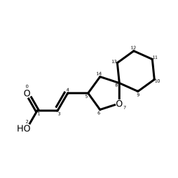 O=C(O)/C=C/C1COC2(CCCCC2)C1